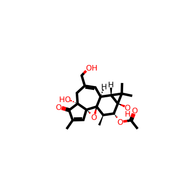 CC(=O)O[C@@H]1[C@@H](C)[C@]23O[C@@]24C=C(C)C(=O)[C@@]4(O)CC(CO)=C[C@H]3[C@@H]2C(C)(C)[C@]12O